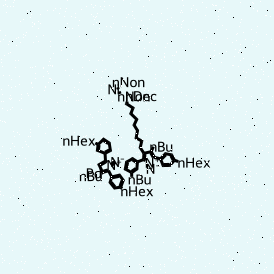 CCCCCCCCCCCCCCCCCCCC1=C(c2cccc(CCCC)c2)[N+](=[N-])C(c2ccc(CCCCCC)cc2)=C1CCCC.CCCCCCCC[CH2][Ni][CH2]CCCCCCCC.CCCCCCc1ccc(C2=C(CCCC)C=C(c3cccc(CCCCCC)c3)[N+]2=[N-])cc1.[Pd]